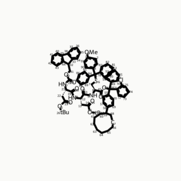 COc1ccc(C(SC[C@H](NC(=O)[C@H](CC(=O)OC(C)(C)C)NC(=O)[C@H](CC(=O)OC(C)(C)C)NC(=O)OCC2c3ccccc3-c3ccccc32)C(=O)OC(c2ccccc2)(c2ccc(C3CCCCCCCCC3)cc2)c2ccccc2Cl)(c2ccccc2)c2ccccc2)cc1